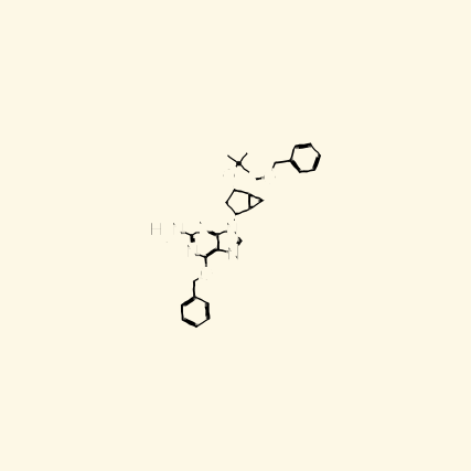 CC(C)(C)O[C@H]1C[C@H](n2cnc3c(OCc4ccccc4)nc(N)nc32)C2C[C@@]21COCc1ccccc1